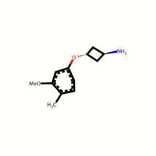 COc1cc(O[C@H]2C[C@H](N)C2)ccc1C